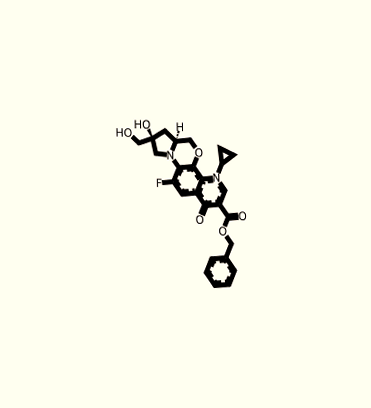 O=C(OCc1ccccc1)c1cn(C2CC2)c2c3c(c(F)cc2c1=O)N1C[C@](O)(CO)C[C@H]1CO3